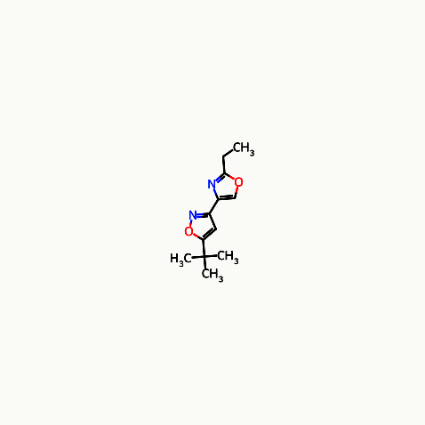 CCc1nc(-c2cc(C(C)(C)C)on2)co1